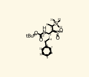 CC(C([C@H](CCc1ccccc1)NC(=O)OC(C)(C)C)=S(=O)=O)[Si](C)(C)C